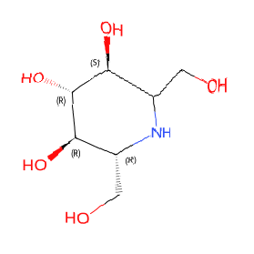 OCC1N[C@H](CO)[C@@H](O)[C@H](O)[C@H]1O